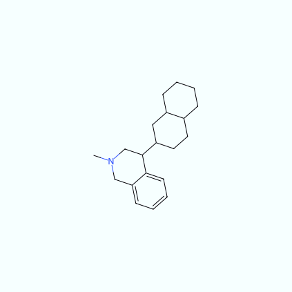 CN1Cc2ccccc2C(C2CCC3CCCCC3C2)C1